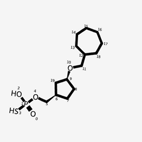 O=P(O)(S)OC[C@@H]1CC[C@H](OCC2CCCCCC2)C1